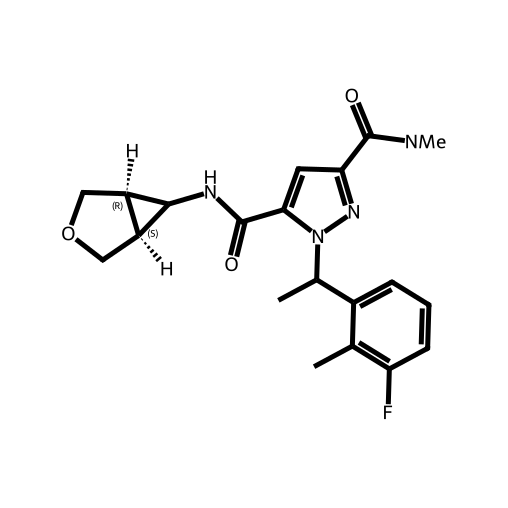 CNC(=O)c1cc(C(=O)NC2[C@H]3COC[C@@H]23)n(C(C)c2cccc(F)c2C)n1